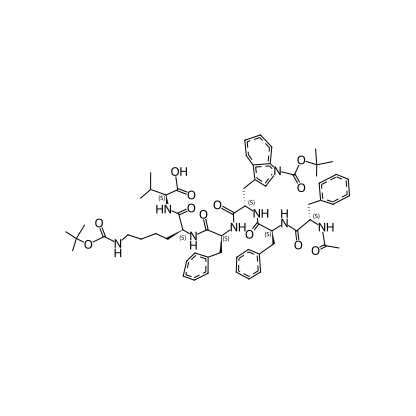 CC(=O)N[C@@H](Cc1ccccc1)C(=O)N[C@@H](Cc1ccccc1)C(=O)N[C@@H](Cc1cn(C(=O)OC(C)(C)C)c2ccccc12)C(=O)N[C@@H](Cc1ccccc1)C(=O)N[C@@H](CCCCNC(=O)OC(C)(C)C)C(=O)N[C@H](C(=O)O)C(C)C